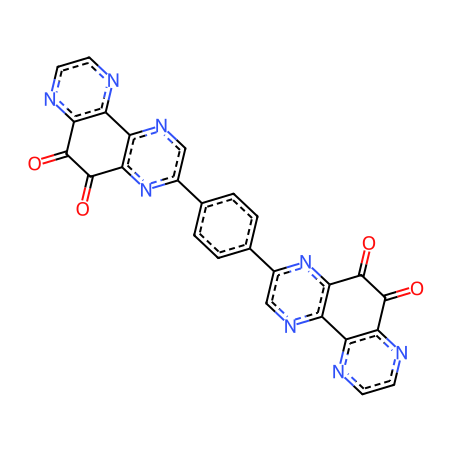 O=C1C(=O)c2nc(-c3ccc(-c4cnc5c(n4)C(=O)C(=O)c4nccnc4-5)cc3)cnc2-c2nccnc21